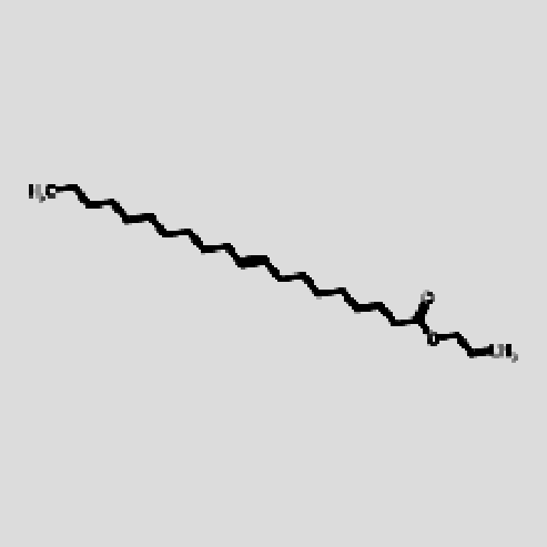 CCCCCCCCCCC=CCCCCCCCC(=O)OCCC